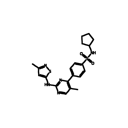 Cc1cc(Nc2ncc(C)c(-c3ccc(S(=O)(=O)NC4CCCC4)cc3)n2)sn1